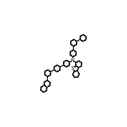 c1ccc(-c2cccc(-c3ccc(N(c4ccc(-c5ccc(-c6cccc(-c7ccc8ccccc8c7)c6)cc5)cc4)c4cccc5c4sc4ccccc45)cc3)c2)cc1